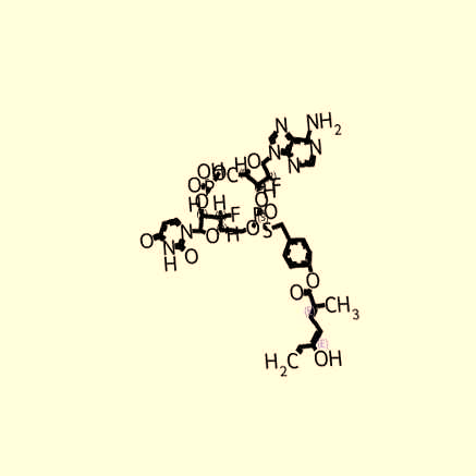 C=C/C(O)=C\C=C(/C)C(=O)Oc1ccc(CS[P@@]2(=O)OC[C@H]3OC(n4ccc(=O)[nH]c4=O)[C@H](OP(=O)(O)OC[C@H]4OC(n5cnc6c(N)ncnc65)[C@H](F)[C@@H]4O2)[C@@H]3F)cc1